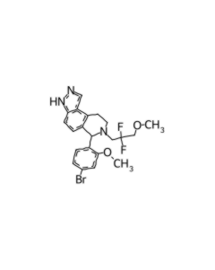 COCC(F)(F)CN1CCc2c(ccc3[nH]ncc23)C1c1ccc(Br)cc1OC